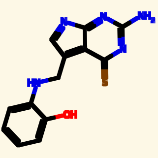 NC1=NC(=S)C2=C(CNc3ccccc3O)C=NC2=N1